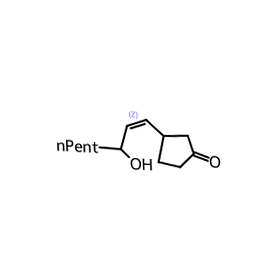 CCCCCC(O)/C=C\C1CCC(=O)C1